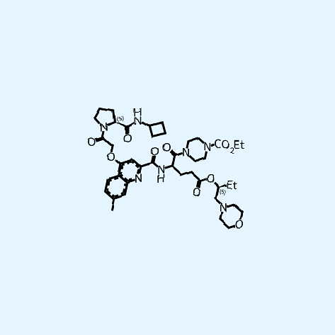 CCOC(=O)N1CCN(C(=O)C(CCC(=O)O[C@@H](CC)CN2CCOCC2)NC(=O)c2cc(OCC(=O)N3CCC[C@H]3C(=O)NC3CCC3)c3ccc(C)cc3n2)CC1